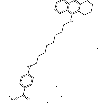 COC(=O)c1ccc(NCCCCCCCCNc2c3c(nc4ccccc24)CCCC3)cc1